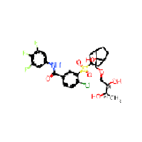 C[C@@H](O)[C@H](O)COCC1(O)C2CCC1CC(S(=O)(=O)c1cc(C(=O)Nc3cc(F)c(F)c(F)c3)ccc1Cl)C2